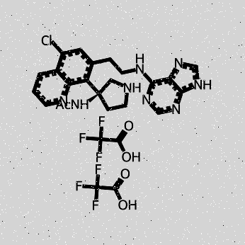 CC(=O)N[C@]1(c2c(CCNc3ncnc4[nH]cnc34)cc(Cl)c3cccnc23)CCNC1.O=C(O)C(F)(F)F.O=C(O)C(F)(F)F